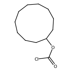 O=C(Cl)OC1CCCCCCCCCC1